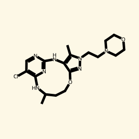 Cc1c2c(nn1CCN1CCOCC1)OCCC(C)Nc1nc(ncc1Cl)N2